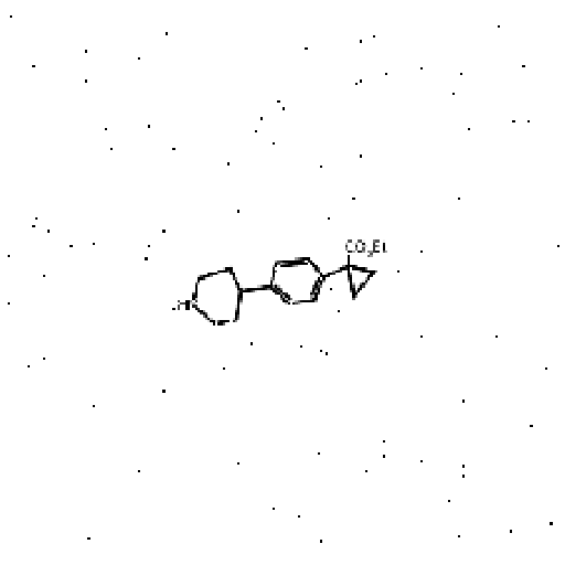 CCOC(=O)C1(c2ccc(C3CCNCC3)cc2)CC1